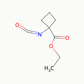 CCOC(=O)C1(N=C=O)CCC1